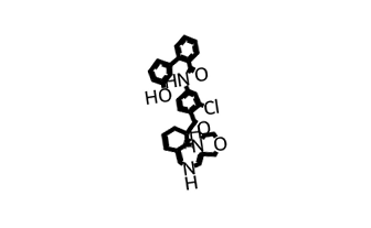 O=C(Nc1ccc(C(=O)C2CC=CC3=CNC=C4COCCN4[C@H]32)c(Cl)c1)c1ccccc1-c1cccc(O)c1